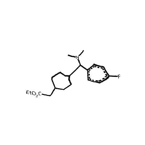 CCOC(=O)CC1CCC(C(c2ccc(F)cc2)N(C)C)CC1